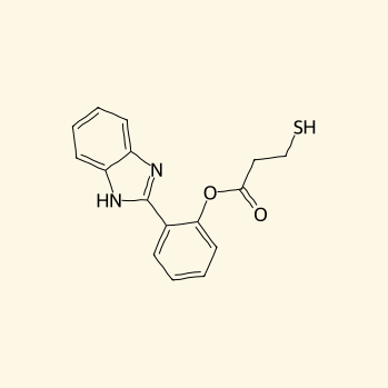 O=C(CCS)Oc1ccccc1-c1nc2ccccc2[nH]1